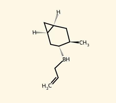 C=CCB[C@@H]1C[C@H]2C[C@H]2C[C@H]1C